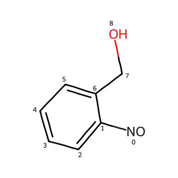 O=Nc1ccccc1CO